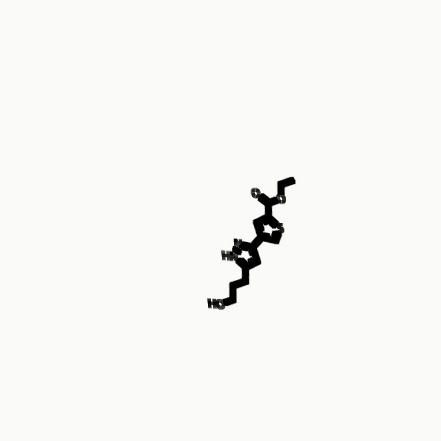 CCOC(=O)c1cc(-c2cc(CCCO)[nH]n2)cs1